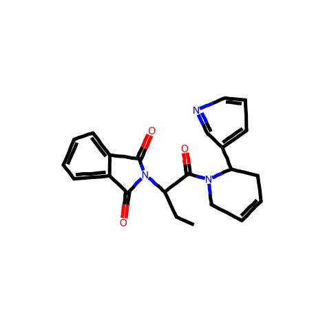 CCC(C(=O)N1CC=CCC1c1cccnc1)N1C(=O)c2ccccc2C1=O